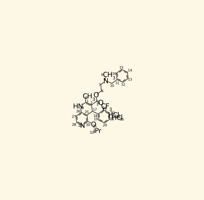 CC1=C(C(=O)OCCN(C)Cc2ccccc2)C(c2ccccc2C(F)(F)F)c2c(ccnc2OC(C)C)N1.Cl.Cl